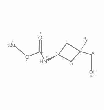 CC(C)(C)OC(=O)N[C@H]1C[C@@](C)(CO)C1